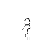 Cn1c(CCO)cc2cc(Cl)cnc21